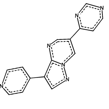 c1cc(-c2cnn3cc(-c4ccncn4)cnc23)ccn1